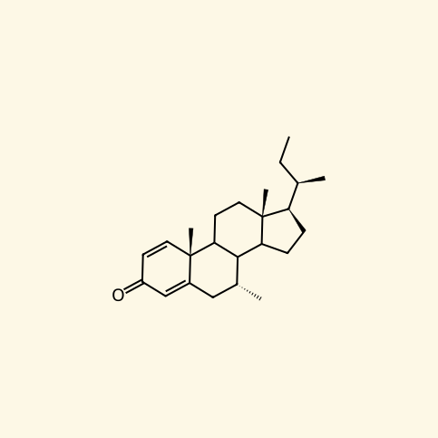 CC[C@@H](C)[C@H]1CCC2C3C(CC[C@@]21C)[C@@]1(C)C=CC(=O)C=C1C[C@H]3C